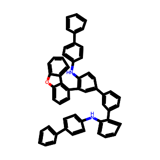 c1ccc(-c2ccc(Nc3ccccc3-c3cccc(-c4ccc(Nc5ccc(-c6ccccc6)cc5)c(-c5cccc6oc7ccccc7c56)c4)c3)cc2)cc1